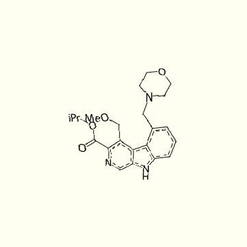 COCc1c(C(=O)OC(C)C)ncc2[nH]c3cccc(CN4CCOCC4)c3c12